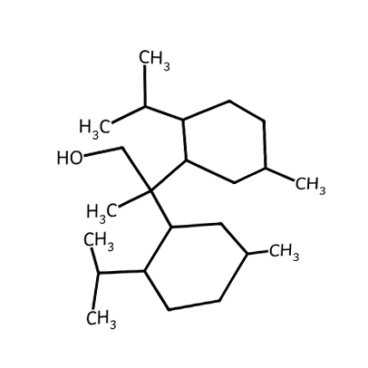 CC1CCC(C(C)C)C(C(C)(CO)C2CC(C)CCC2C(C)C)C1